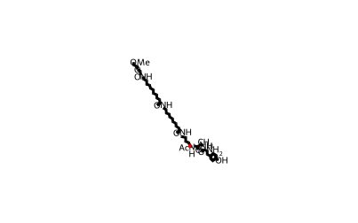 COCCOCC(=O)NCCCCCCCCCCC(=O)NCCCCCCCCCCC(=O)NCCCC[C@H](NCC(=O)[C@@H](C)NC(=O)[C@@H](N)Cc1ccc(O)cc1)C(C)=O